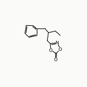 CCC(Cc1ccccc1)Cc1noc(=O)o1